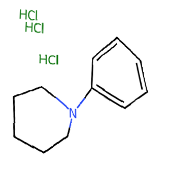 Cl.Cl.Cl.c1ccc(N2CCCCC2)cc1